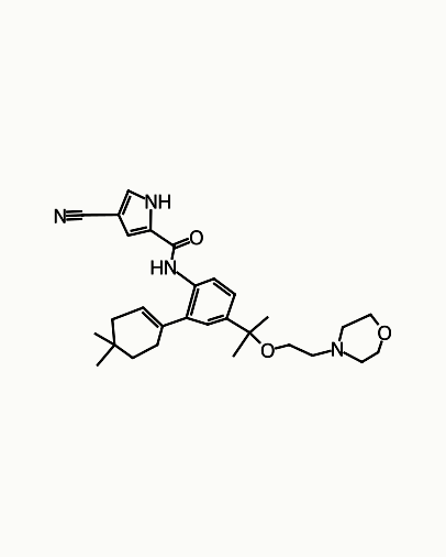 CC1(C)CC=C(c2cc(C(C)(C)OCCN3CCOCC3)ccc2NC(=O)c2cc(C#N)c[nH]2)CC1